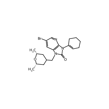 C[C@@H]1CC(Cn2c(=O)n(C3=CCCCC3)c3ncc(Br)cc32)C[C@H](C)O1